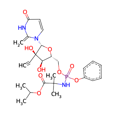 C#C[C@@]1(O)[C@H](O)[C@@H](COP(=O)(NC(C)(C)C(=O)OC(C)C)Oc2ccccc2)O[C@H]1N1C=CC(=O)NC1=C